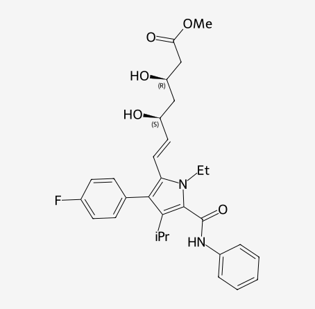 CCn1c(C=C[C@@H](O)C[C@@H](O)CC(=O)OC)c(-c2ccc(F)cc2)c(C(C)C)c1C(=O)Nc1ccccc1